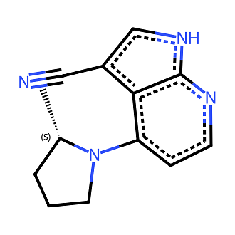 C[C@H]1CCCN1c1ccnc2[nH]cc(C#N)c12